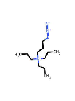 CCC[N+](CCC)(CCC)CCCN=[N+]=[N-]